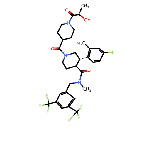 Cc1cc(F)ccc1[C@H]1CN(C(=O)C2CCN(C(=O)[C@@H](C)O)CC2)CC[C@@H]1C(=O)N(C)Cc1cc(C(F)(F)F)cc(C(F)(F)F)c1